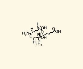 CCC(N)C(=O)O.NC(=O)NCCC[C@H](N)C(=O)O.NCCCCCC(=O)O